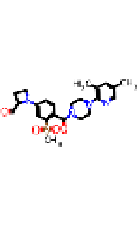 Cc1cnc(N2CCN(C(=O)c3ccc(N4CCC4C=O)cc3S(C)(=O)=O)CC2)c(C)c1